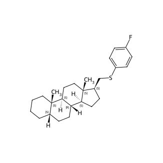 C[C@]12CCCC[C@H]1CC[C@@H]1[C@@H]2CC[C@]2(C)[C@@H](CSc3ccc(F)cc3)CC[C@@H]12